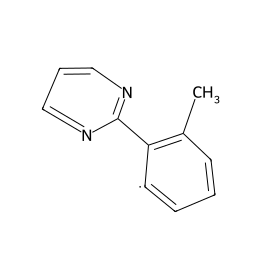 Cc1ccc[c]c1-c1ncccn1